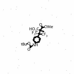 COC(=O)C(C)(C(=O)O)C(c1ccc(NC(=O)OC(C)(C)C)cc1)(C(F)(F)F)C(F)(F)F